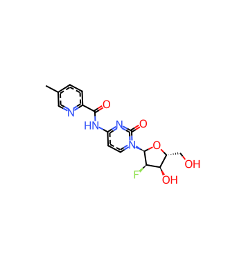 Cc1ccc(C(=O)Nc2ccn([C@H]3O[C@H](CO)[C@@H](O)[C@H]3F)c(=O)n2)nc1